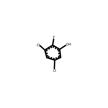 Oc1cc(Cl)cc(Cl)c1F